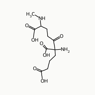 CNC(CCC(=O)C(N)(CCCC(=O)O)C(=O)O)C(=O)O